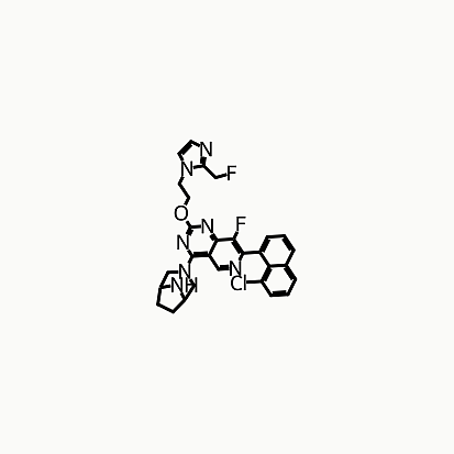 FCc1nccn1CCOc1nc(N2CC3CCC(C2)N3)c2cnc(-c3cccc4cccc(Cl)c34)c(F)c2n1